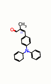 C/C(C=O)=C/c1ccc(N(c2ccccc2)C2C=CC=CC2)cc1